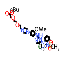 CCCCOC(=O)COCCOCCN1CCN(c2ccc(Nc3ncc(Cl)c(Nc4ccccc4N(C)S(C)(=O)=O)n3)c(OC)c2)CC1